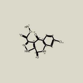 CCCOC(=O)c1n[nH]c2c(=O)[nH]c3cc(Cl)ccc3c(=O)c12